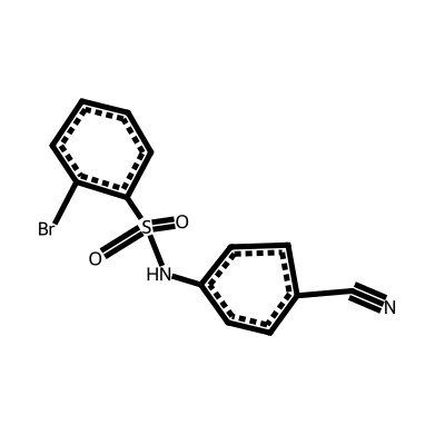 N#Cc1ccc(NS(=O)(=O)c2ccccc2Br)cc1